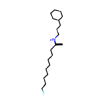 C=C(CCCCCCCCCF)NCCCC1CCCCC1